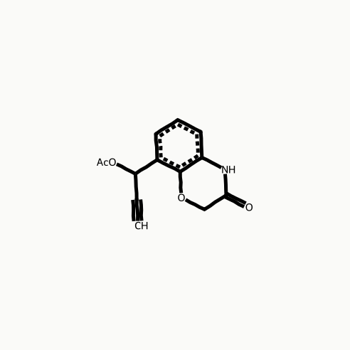 C#CC(OC(C)=O)c1cccc2c1OCC(=O)N2